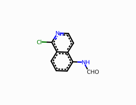 O=CNc1cccc2c(Cl)nccc12